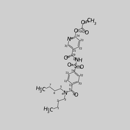 CCCCN(CCCC)C(=O)c1ccc(S(=O)(=O)NC(=O)c2ccc(OC(=O)OC)nc2)cc1